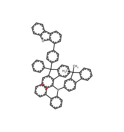 CC1(C)c2ccccc2-c2ccc(N(c3ccccc3-c3ccccc3)c3cccc4c3-c3ccccc3C4(c3ccccc3)c3ccc(-c4cccc5c4oc4ccccc45)cc3)cc21